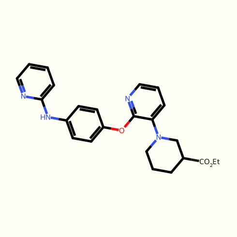 CCOC(=O)C1CCCN(c2cccnc2Oc2ccc(Nc3ccccn3)cc2)C1